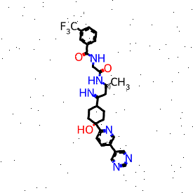 C[C@H](CC(=N)C1CCC(O)(c2ccc(-c3cncnc3)cn2)CC1)NC(=O)CNC(=O)c1cccc(C(F)(F)F)c1